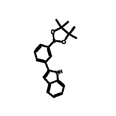 CC1(C)OB(c2cccc(-c3cc4ccccc4[nH]3)c2)OC1(C)C